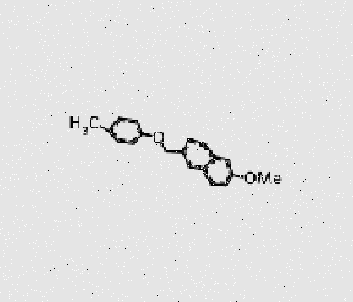 COc1ccc2cc(COc3ccc(C)cc3)ccc2c1